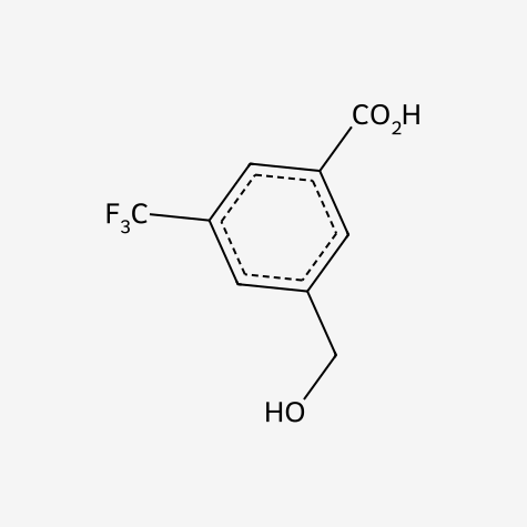 O=C(O)c1cc(CO)cc(C(F)(F)F)c1